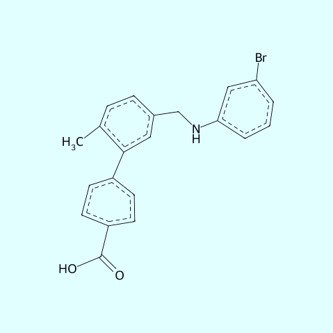 Cc1ccc(CNc2cccc(Br)c2)cc1-c1ccc(C(=O)O)cc1